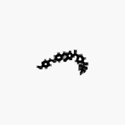 COc1ccc(COc2ccc(C=C3SC(Nc4ccc(NS(=O)(=O)C(F)(F)F)cc4)=NC3=O)cc2)cc1